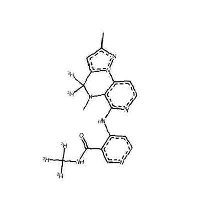 [2H]C([2H])([2H])NC(=O)c1cnccc1Nc1nccc2c1N(C)C([2H])([2H])c1cc(C)nn1-2